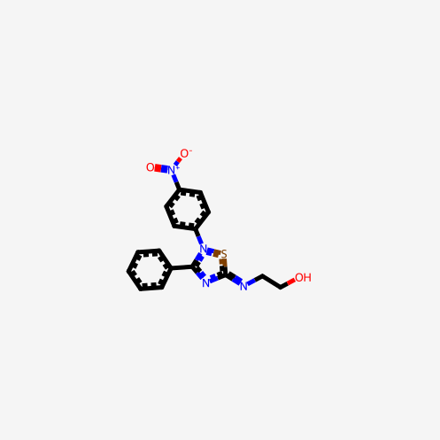 O=[N+]([O-])c1ccc(-n2s/c(=N\CCO)nc2-c2ccccc2)cc1